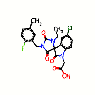 CCN1C(=O)N(Cc2cc(C)ccc2F)C(=O)C12C(=O)N(CC(=O)O)c1ccc(Cl)cc12